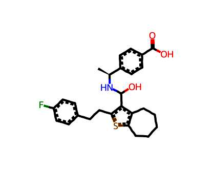 C[C@H](NC(O)c1c(CCc2ccc(F)cc2)sc2c1CCCCC2)c1ccc(C(=O)O)cc1